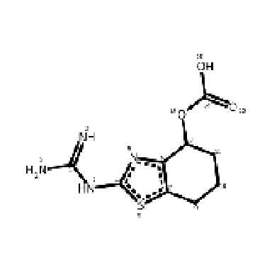 N=C(N)Nc1nc2c(s1)CCCC2OC(=O)O